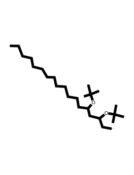 [CH2]CC(CC(CCCCCCCCCCCCC)OC(C)(C)C)OC(C)(C)C